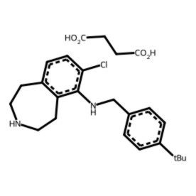 CC(C)(C)c1ccc(CNc2c(Cl)ccc3c2CCNCC3)cc1.O=C(O)CCC(=O)O